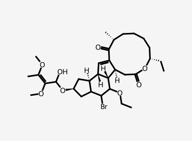 CCOC1C(Br)C2C[C@@H](OC(O)/C(OC)=C(/C)OC)C[C@H]2[C@@H]2C=C3C(=O)[C@H](C)CCCC[C@H](CC)OC(=O)C[C@H]3[C@H]12